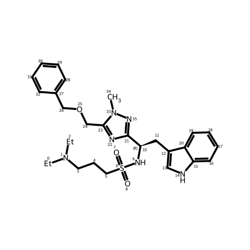 CCN(CC)CCCS(=O)(=O)N[C@H](Cc1c[nH]c2ccccc12)c1nc(COCc2ccccc2)n(C)n1